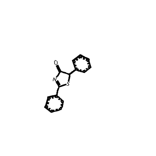 O=C1N=C(c2ccccc2)SC1c1ccccc1